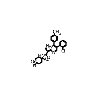 CC(=O)C1(NC(=O)c2cnn3c(-c4ccc(C)cc4)c(-c4ccccc4Cl)cnc23)CCS(=O)(=O)CC1